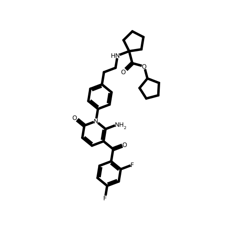 Nc1c(C(=O)c2ccc(F)cc2F)ccc(=O)n1-c1ccc(CCNC2(C(=O)OC3CCCC3)CCCC2)cc1